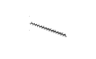 [C]CCCCCCCCCCCCCCCCCCCCCCCCCCCCCC